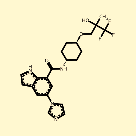 CC(O)(CO[C@H]1CC[C@H](NC(=O)c2cc(-n3ccnc3)cc3cc[nH]c23)CC1)C(F)(F)F